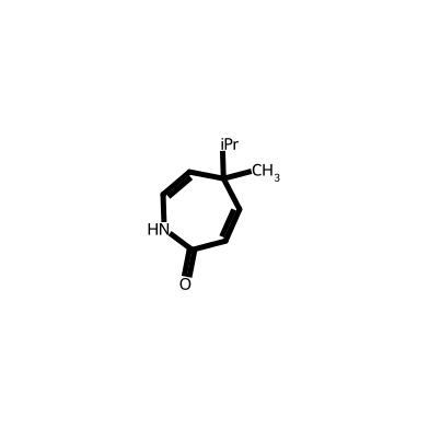 CC(C)C1(C)C=CNC(=O)C=C1